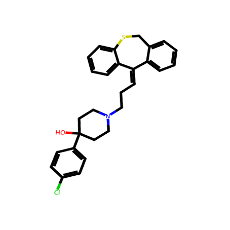 OC1(c2ccc(Cl)cc2)CCN(CC/C=C2/c3ccccc3CSc3ccccc32)CC1